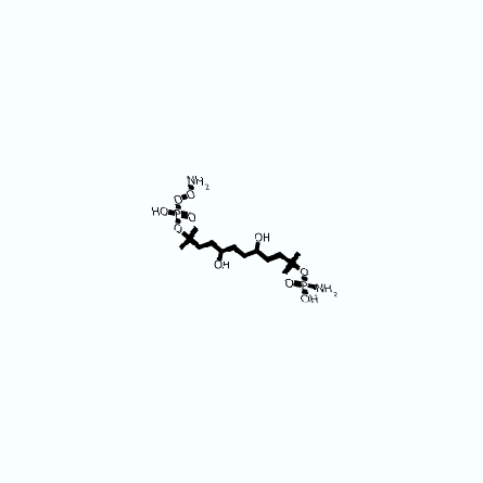 CC(C)(CCC(O)CCC(O)CCC(C)(C)OP(=O)(O)OON)OP(N)(=O)O